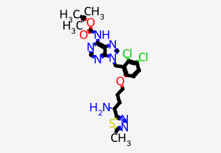 Cc1nnc([C@H](N)CCCOc2ccc(Cl)c(Cl)c2Cn2cnc3c(NC(=O)OC(C)(C)C)ncnc32)s1